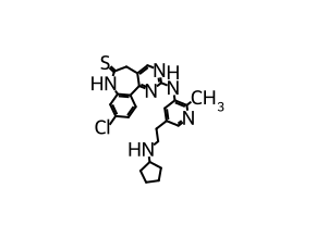 Cc1ncc(CCNC2CCCC2)cc1Nc1ncc2c(n1)-c1ccc(Cl)cc1NC(=S)C2